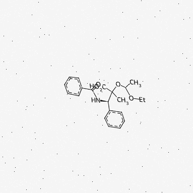 CCOC(C)OC(C)(C(=O)O)[C@H](NC(=O)c1ccccc1)c1ccccc1